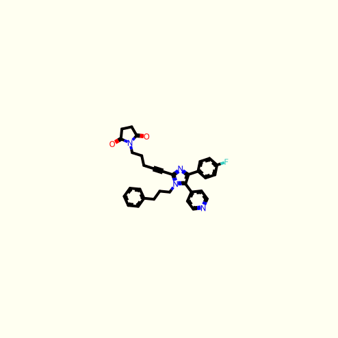 O=C1CCC(=O)N1CCCC#Cc1nc(-c2ccc(F)cc2)c(-c2ccncc2)n1CCCc1ccccc1